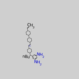 CC=CC1CCC(C2CCC(/C=C/C3CCC(C(CCCC)c4cc(N)cc(N)c4)CC3)CC2)CC1